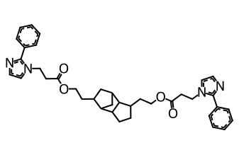 O=C(CCn1ccnc1-c1ccccc1)OCCC1CC2CC1C1CCC(CCOC(=O)CCn3ccnc3-c3ccccc3)C21